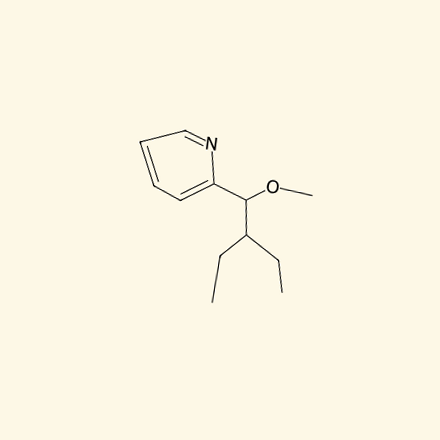 CCC(CC)C(OC)c1ccccn1